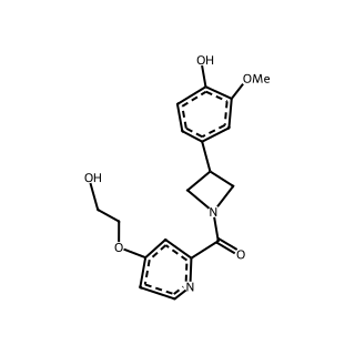 COc1cc(C2CN(C(=O)c3cc(OCCO)ccn3)C2)ccc1O